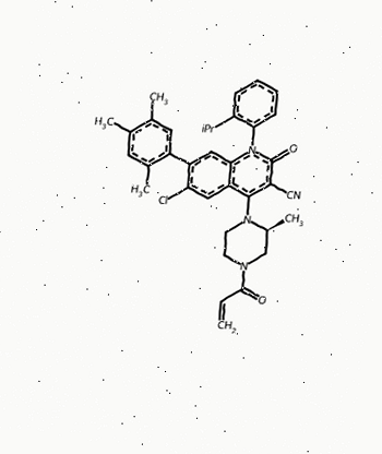 C=CC(=O)N1CCN(c2c(C#N)c(=O)n(-c3ccccc3C(C)C)c3cc(-c4cc(C)c(C)cc4C)c(Cl)cc23)[C@@H](C)C1